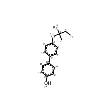 CC(=O)C(C)(CI)Oc1ccc(-c2ccc(O)cc2)cc1